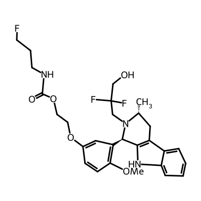 COc1ccc(OCCOC(=O)NCCCF)cc1[C@@H]1c2[nH]c3ccccc3c2C[C@@H](C)N1CC(F)(F)CO